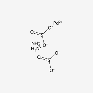 O=S([O-])[O-].O=S([O-])[O-].[NH4+].[NH4+].[Pd+2]